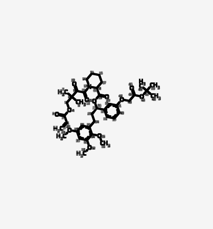 C=CC(=O)OCC(C)(C)C(=O)C(=O)N1CCCC[C@H]1C(=O)O[C@H](CCc1cc(OC)cc(OC)c1OC)c1cccc(OCC(=O)OC(C)(C)C)c1